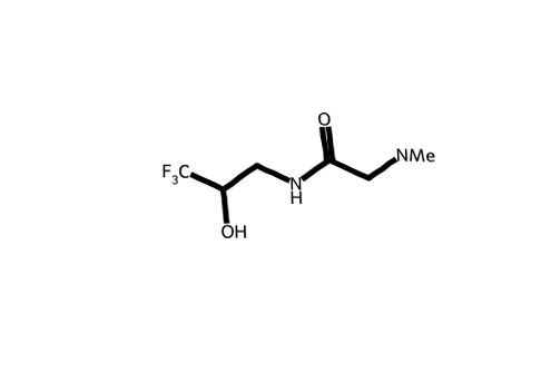 CNCC(=O)NCC(O)C(F)(F)F